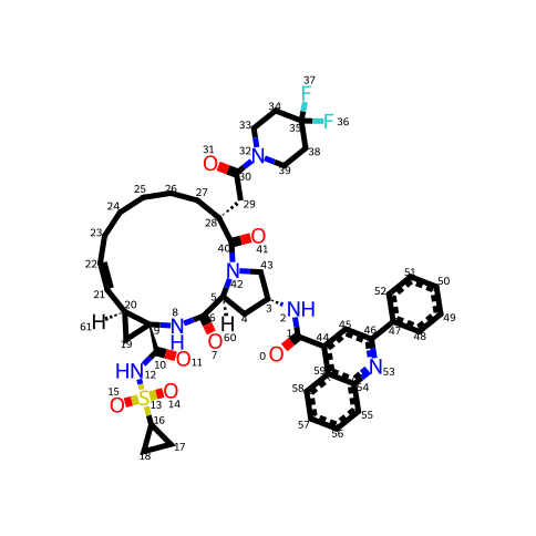 O=C(N[C@@H]1C[C@H]2C(=O)N[C@]3(C(=O)NS(=O)(=O)C4CC4)C[C@H]3C=CCCCCC[C@H](CC(=O)N3CCC(F)(F)CC3)C(=O)N2C1)c1cc(-c2ccccc2)nc2ccccc12